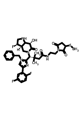 BSC1CC(=O)N(CCNC(=O)CC(C)(C)[C@H](c2nc(-c3cc(F)ccc3F)cn2Cc2ccccc2)N2C[C@@H]3C(NC[C@@H]3F)[C@H](O)C2=O)C1=O